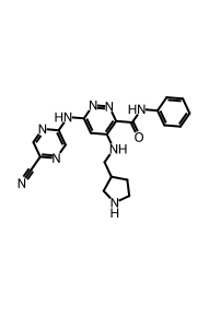 N#Cc1cnc(Nc2cc(NCC3CCNC3)c(C(=O)Nc3ccccc3)nn2)cn1